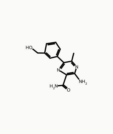 Cc1nc(N)c(C(N)=O)nc1-c1cccc(CO)c1